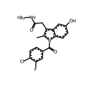 CCCCNC(=O)Cc1c(C)n(C(=O)c2ccc(Cl)c(F)c2)c2ccc(O)cc12